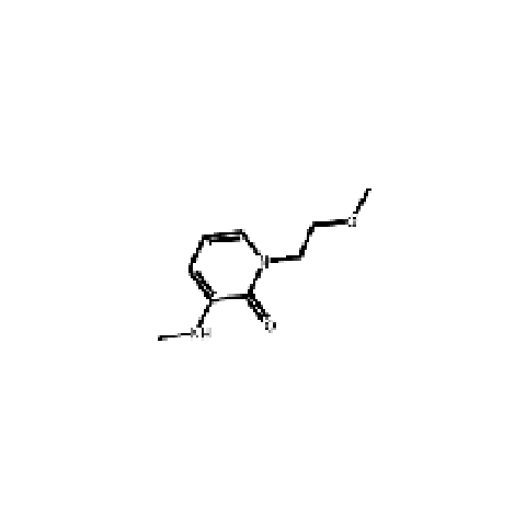 CNc1cccn(CCOC)c1=O